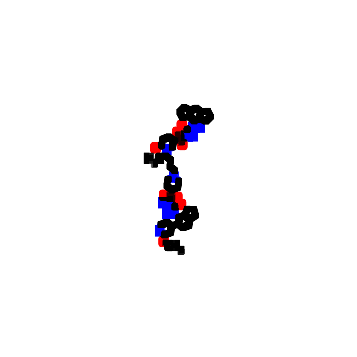 COc1cc(-c2ccc3c(c2NC(=O)NS(=O)(=O)C2CCN(CCCC(C)n4cc(S(=O)(=O)NC(=O)Nc5c6c(cc7c5CCC7)CCC6)ccc4=O)CC2)CCC3)ccn1